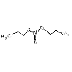 CCCO[N+](=O)OCCC